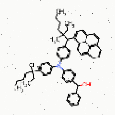 CCCCC(C)(CC)c1ccc(N(c2ccc(C(O)c3ccccc3)cc2)c2ccc(C(C3=CC=C4C=CC5=C6C(=CC=C3C46)CC=C5)C(C)(CC)CCCC)cc2)cc1